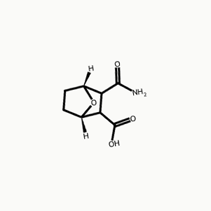 NC(=O)C1C(C(=O)O)[C@@H]2CC[C@H]1O2